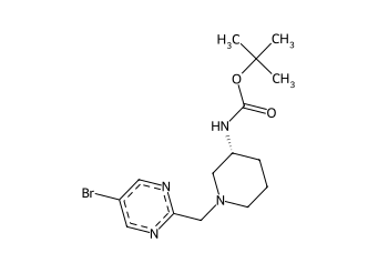 CC(C)(C)OC(=O)N[C@@H]1CCCN(Cc2ncc(Br)cn2)C1